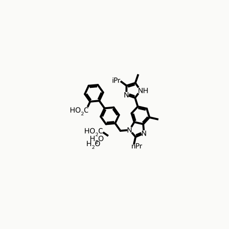 CC(=O)O.CCCc1nc2c(C)cc(-c3nc(C(C)C)c(C)[nH]3)cc2n1Cc1ccc(-c2ccccc2C(=O)O)cc1.O.O